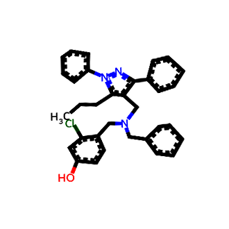 CCCc1c(CN(Cc2ccccc2)Cc2ccc(O)cc2Cl)c(-c2ccccc2)nn1-c1ccccc1